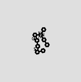 c1ccc(-c2ccc(-c3nc(-c4ccccc4)nc(-c4cccc5oc6cc(-c7ccc8c(c7)sc7cccc(-c9ccccc9)c78)ccc6c45)n3)cc2)cc1